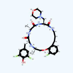 CC(C)[C@H]1NC(=O)[C@@H](Cc2cc(F)c(O)c(F)c2)N[C@@H](C)COc2c(F)cccc2CCCNC(=O)[C@H](CN2CCOCC2)NC1=O